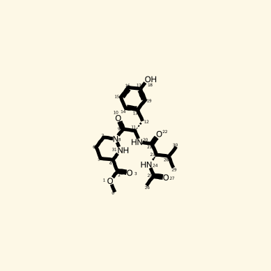 COC(=O)C1CCCN(C(=O)[C@H](Cc2cccc(O)c2)NC(=O)[C@@H](NC(C)=O)C(C)C)N1